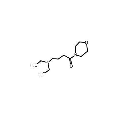 CCN(CC)CCCC(=O)N1CCOCC1